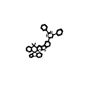 CC1(C)c2ccccc2C2(c3ccccc3-c3ccccc32)c2cc3sc4ccc(-c5cc(-c6ccccc6)nc(-c6ccccc6)n5)cc4c3cc21